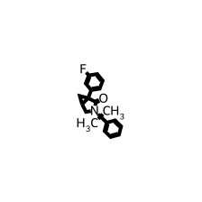 CC(C)(c1ccccc1)N1CC2CC2(c2cccc(F)c2)C1=O